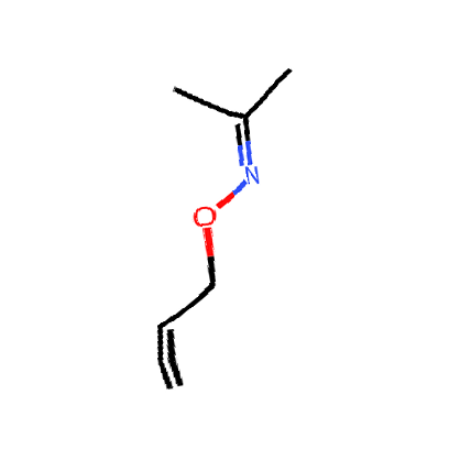 C=CCON=C(C)C